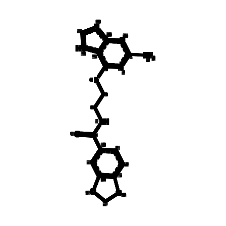 Nc1nc(SCCNC(=O)c2ccc3c(c2)OCO3)c2[nH]cnc2n1